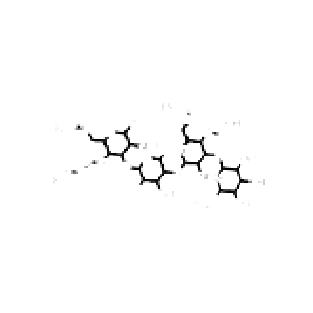 CC(=O)NC1C(OC2C(C(=O)O)OC(OC3C(NC(C)=O)C(C(C)(C)C)OC(COS(=O)(=O)O)C3OSOOO)C(C)C2O)OC(COS(=O)(=O)O)C(OOO)C1OC1OC(C(=O)O)C(O)C(O)C1O